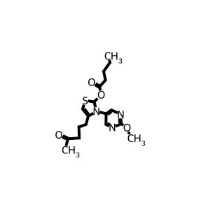 CCCCC(=O)OC1SC=C(CCCC(C)=O)N1c1cnc(OC)nc1